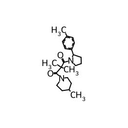 Cc1ccc(C2CCCN2C(=O)C(C)(C)C(=O)N2CCC(C)CC2)cc1